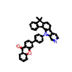 CC1(C)c2ccccc2-c2c1ccc1c3ccncc3n(-c3ccc(-c4ccc5c(=O)c6ccccc6oc5c4)cc3)c21